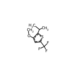 COc1cc(C(F)(F)F)sc1C(C)C